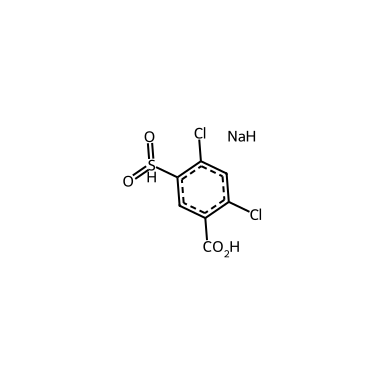 O=C(O)c1cc([SH](=O)=O)c(Cl)cc1Cl.[NaH]